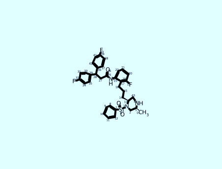 C[C@@H]1CN(S(=O)(=O)c2ccccc2)[C@@H](CCCc2c(F)cccc2NC(=O)CC(c2ccc(F)cc2)c2ccc(F)cc2)CN1